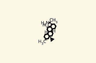 CC(N)[C@H]1CCCC2[C@@H]3CC[C@]4(C5CC5)C[C@@H](C)CC[C@@H]4C3CC[C@@]21C